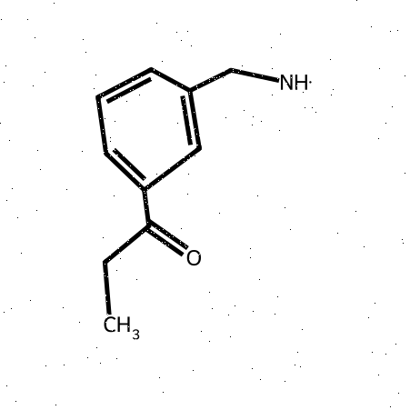 CCC(=O)c1cccc(C[NH])c1